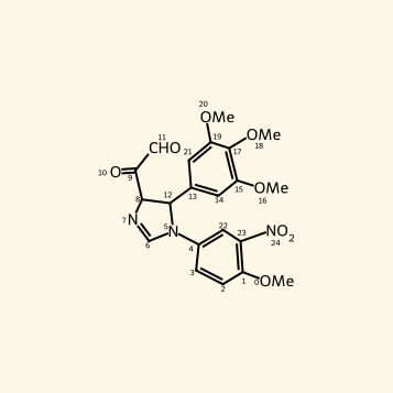 COc1ccc(N2C=NC(C(=O)C=O)C2c2cc(OC)c(OC)c(OC)c2)cc1[N+](=O)[O-]